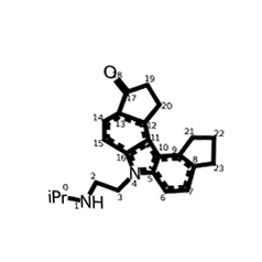 CC(C)NCCn1c2ccc3c(c2c2c4c(ccc21)C(=O)CC4)CCC3